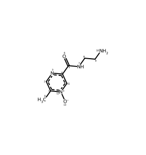 Cc1cnc(C(=O)NCCN)c[n+]1[O-]